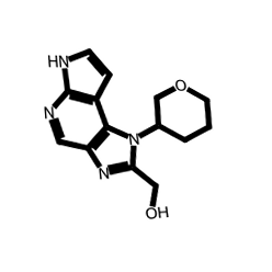 OCc1nc2cnc3[nH]ccc3c2n1C1CCCOC1